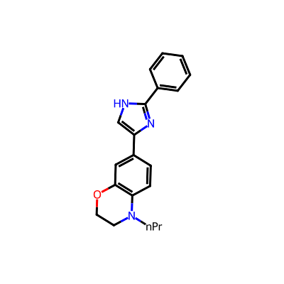 CCCN1CCOc2cc(-c3c[nH]c(-c4ccccc4)n3)ccc21